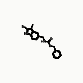 Cc1c(Br)[nH]c2ccc(CNC(=O)OCc3ccccc3)cc12